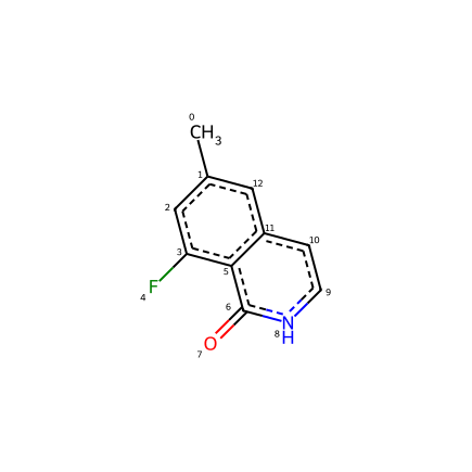 Cc1cc(F)c2c(=O)[nH]ccc2c1